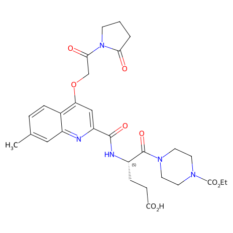 CCOC(=O)N1CCN(C(=O)[C@H](CCC(=O)O)NC(=O)c2cc(OCC(=O)N3CCCC3=O)c3ccc(C)cc3n2)CC1